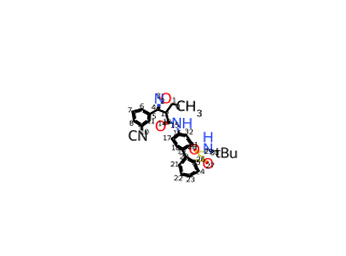 CC1ON=C(c2cccc(C#N)c2)C1C(=O)Nc1ccc(-c2ccccc2S(=O)(=O)NC(C)(C)C)cc1